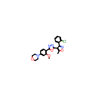 COc1cc(N2CCOCC2)ccc1-c1nnc(-c2c(-c3ccccc3Cl)noc2C)o1